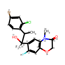 CC(c1ccc(Br)cc1Cl)C(O)(c1cc2c(cc1F)OCC(=O)N2C)C(F)(F)F